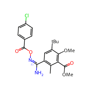 COC(=O)c1c(C)c(/C(N)=N\OC(=O)c2ccc(Cl)cc2)cc(C(C)(C)C)c1OC